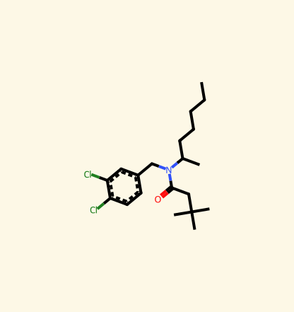 CCCCCC(C)N(Cc1ccc(Cl)c(Cl)c1)C(=O)CC(C)(C)C